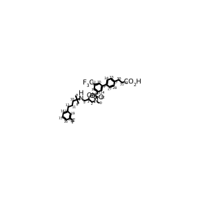 CN(CC(O)CNC(C)(C)CCCc1cccc(F)c1)S(=O)(=O)c1cc(-c2ccc(CCC(=O)O)cc2)cc(C(F)(F)F)c1